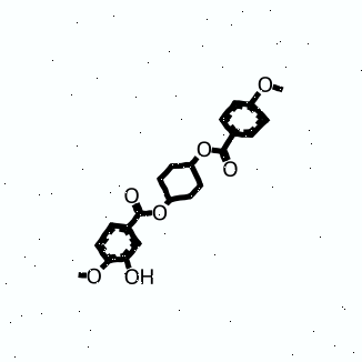 COc1ccc(C(=O)OC2CCC(OC(=O)c3ccc(OC)c(O)c3)CC2)cc1